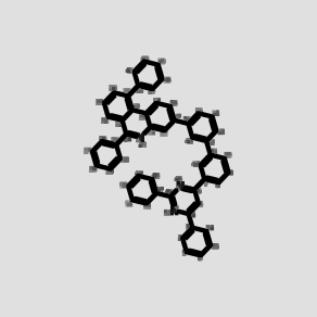 c1ccc(-c2cc(-c3cccc(-c4cccc(-c5ccc6c(c5)nc(-c5ccccc5)c5cccc(-c7ccccc7)c56)c4)c3)nc(-c3ccccc3)n2)cc1